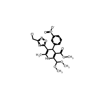 COC(=O)C1=C(C(OC)OC)NC(C)=C(c2nc(CCl)no2)C1c1cccc([N+](=O)[O-])c1